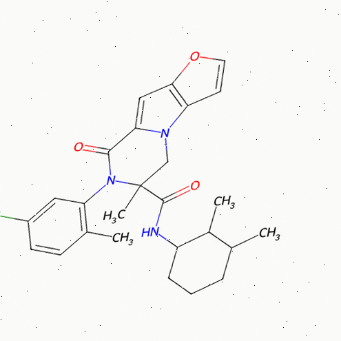 Cc1ccc(Cl)cc1N1C(=O)c2cc3occc3n2CC1(C)C(=O)NC1CCCC(C)C1C